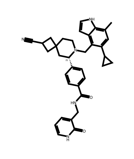 Cc1cc(C2CC2)c(CN2CCC3(CC(C#N)C3)C[C@H]2c2ccc(C(=O)NCc3ccc[nH]c3=O)cc2)c2cc[nH]c12